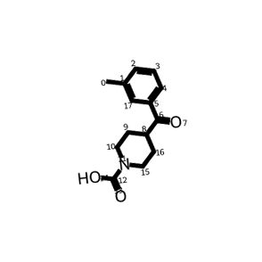 Cc1cccc(C(=O)C2CCN(C(=O)O)CC2)c1